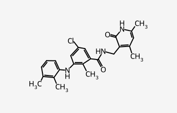 Cc1cc(C)c(CNC(=O)c2cc(Cl)cc(Nc3cccc(C)c3C)c2C)c(=O)[nH]1